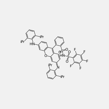 CC(C)c1cccc(C(C)C)c1/N=c1/ccc2c(-c3ccccc3S(=O)(=O)NS(=O)(=O)c3c(F)c(F)c(F)c(F)c3F)c3ccc(Nc4c(C(C)C)cccc4C(C)C)cc3oc-2c1